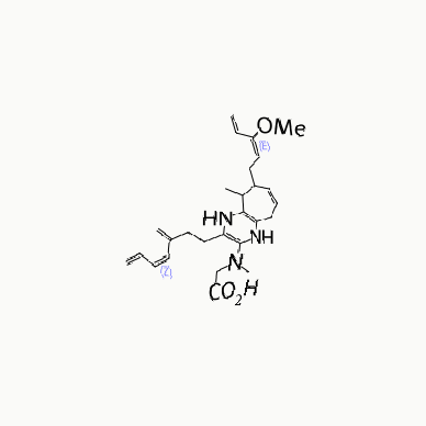 C=C/C=C\C(=C)CCC1=C(N(C)CC(=O)O)NC2=C(N1)C(C)C(C/C=C(\C=C)OC)C=CC2